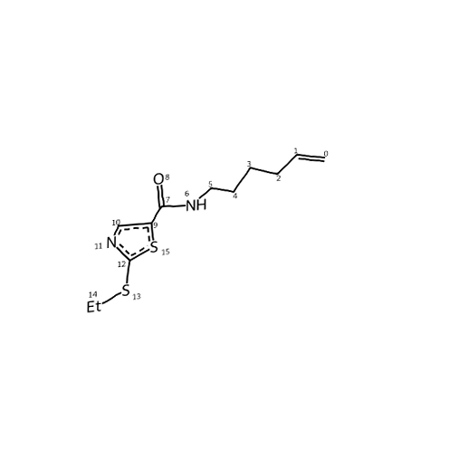 C=CCCCCNC(=O)c1cnc(SCC)s1